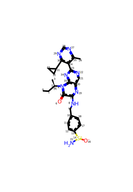 CC[C@@H](C)n1c(=O)c(NCc2ccc([S+](N)[O-])cc2)nc2cnc(-c3c(C)ncnc3C3CC3)nc21